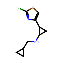 Brc1nc(C2CC2NCC2CC2)cs1